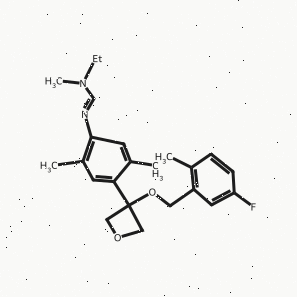 CCN(C)C=Nc1cc(C)c(C2(OCc3cc(F)ccc3C)COC2)cc1C